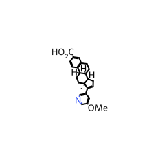 COc1cncc(C2=CC[C@H]3[C@@H]4CCc5cc(C(=O)O)ccc5[C@H]4CC[C@]23C)c1